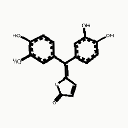 O=C1C=CC(=C(c2ccc(O)c(O)c2)c2ccc(O)c(O)c2)O1